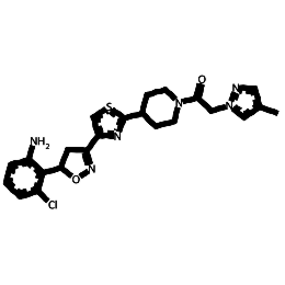 Cc1cnn(CC(=O)N2CCC(c3nc(C4=NOC(c5c(N)cccc5Cl)C4)cs3)CC2)c1